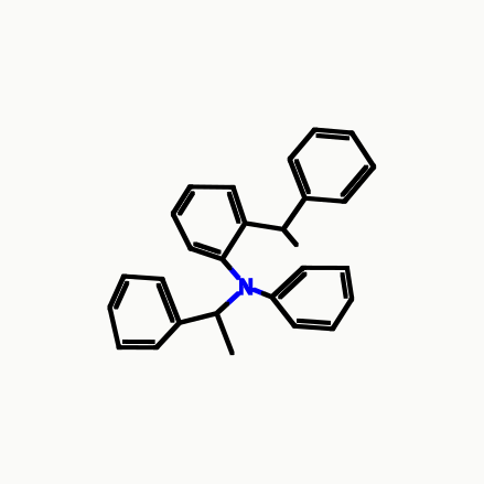 CC(c1ccccc1)c1ccccc1N(c1ccccc1)C(C)c1ccccc1